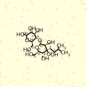 CC(C)CC[C@]1(OO)[C@H](O)[C@@H](CO)O[C@H](O[C@H]2[C@H](O)[C@@H](O)[C@H](O)O[C@@H]2CO)[C@@H]1O